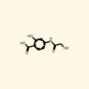 O=C(CO)Nc1ccc(C(=O)O)c(O)c1